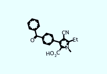 CCc1c(C#N)c(-c2ccc(C(=O)c3ccccc3)cc2)c(C(=O)O)n1C